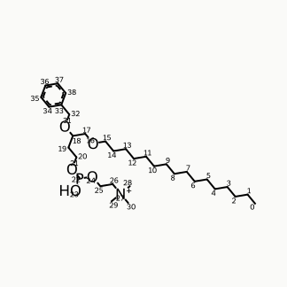 CCCCCCCCCCCCCCCCOCC(CCOP(O)OCC[N+](C)(C)C)OCc1ccccc1